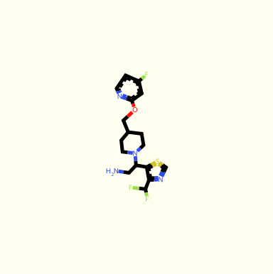 NCC(c1scnc1C(F)F)N1CCC(COc2cc(F)ccn2)CC1